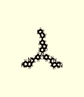 c1ccc2cc(-c3ccc4c(ccc5cc(N(c6ccc(-c7cnc8c(ccc9cnccc98)c7)cc6)c6ccc(-c7cnc8c(ccc9cnccc98)c7)cc6)ccc54)c3)ccc2c1